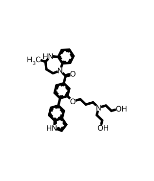 CC1CCN(C(=O)c2ccc(-c3ccc4[nH]ccc4c3)c(OCCCN(CCO)CCO)c2)c2ccccc2N1